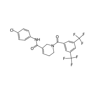 O=C(Nc1ccc(Cl)cc1)C1=CCCN(C(=O)c2cc(C(F)(F)F)cc(C(F)(F)F)c2)C1